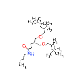 CCCCNC(=O)CCC(COCCC(C)CC(C)(C)C)COCCC(C)CC(C)(C)C